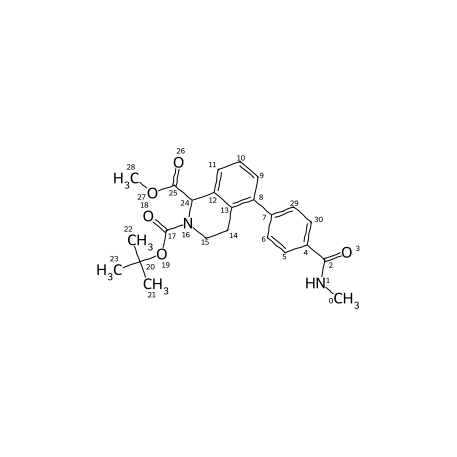 CNC(=O)c1ccc(-c2cccc3c2CCN(C(=O)OC(C)(C)C)C3C(=O)OC)cc1